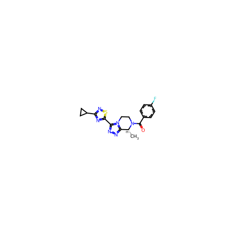 C[C@@H]1c2nnc(-c3nc(C4CC4)ns3)n2CCN1C(=O)c1ccc(F)cc1